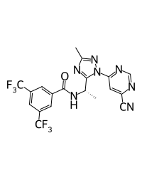 Cc1nc([C@H](C)NC(=O)c2cc(C(F)(F)F)cc(C(F)(F)F)c2)n(-c2cc(C#N)ncn2)n1